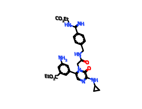 CCOC(=O)NC(=N)c1ccc(CNC(=O)Cn2c(-c3cc(N)cc(C(=O)OCC)c3)cnc(NC3CC3)c2=O)cc1